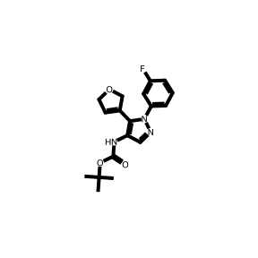 CC(C)(C)OC(=O)Nc1cnn(-c2cccc(F)c2)c1C1=CCOC1